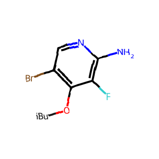 CCC(C)Oc1c(Br)cnc(N)c1F